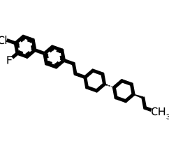 CCC[C@H]1CC[C@H](C2CCC(CCc3ccc(-c4ccc(Cl)c(F)c4)cc3)CC2)CC1